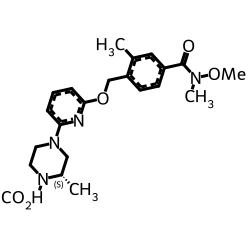 CON(C)C(=O)c1ccc(COc2cccc(N3CCN(C(=O)O)[C@@H](C)C3)n2)c(C)c1